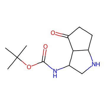 CC(C)(C)OC(=O)NC1CNC2CCC(=O)C21